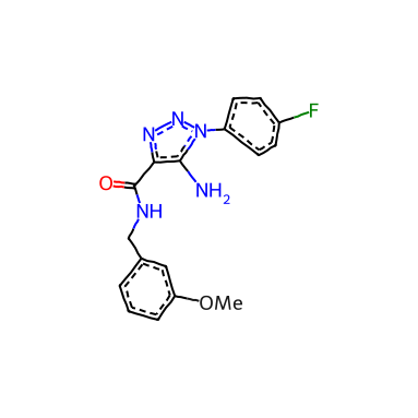 COc1cccc(CNC(=O)c2nnn(-c3ccc(F)cc3)c2N)c1